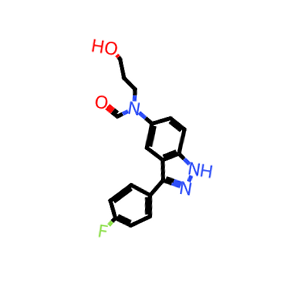 O=CN(CCCO)c1ccc2[nH]nc(-c3ccc(F)cc3)c2c1